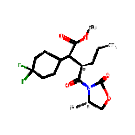 CC(C)[C@H]1COC(=O)N1C(=O)[C@H](CCC(F)(F)F)C(C(=O)OC(C)(C)C)C1CCC(F)(F)CC1